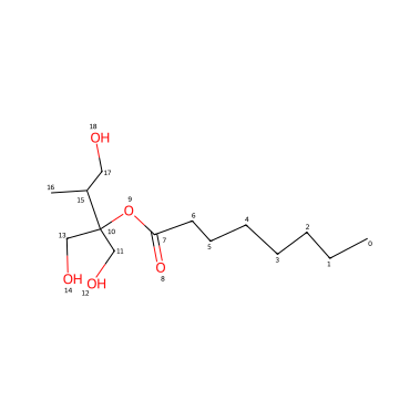 CCCCCCCC(=O)OC(CO)(CO)C(C)CO